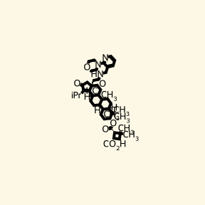 CC(C)C1=C2[C@H]3CC[C@@H]4[C@@]5(C)CC[C@H](OC(=O)[C@H]6C[C@@H](C(=O)O)C6(C)C)C(C)(C)[C@@H]5CC[C@@]4(C)[C@]3(C)CC[C@@]2(CC(=O)NCc2cccnc2N2CCOCC2)CC1=O